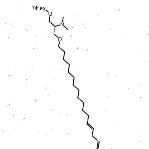 CCCCCC=CCC=CCCCCCCCCCCCCOC[C@H](COCCCCCC)N(C)C